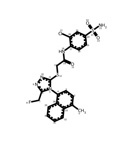 Cc1ccc(-n2c(CF)nnc2SCC(=O)Nc2ccc(S(N)(=O)=O)cc2Cl)c2ccccc12